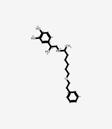 CC(CCCCCOCCc1ccccc1)NCC(O)c1ccc(O)c(O)c1